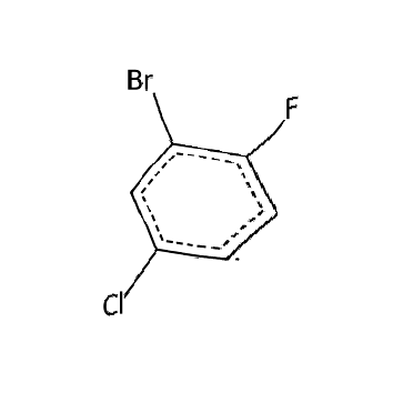 Fc1c[c]c(Cl)cc1Br